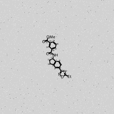 CCc1nc(-c2ccc3c(c2)CC[C@H]3NC(=O)c2cccc(C(=O)OC)c2)no1